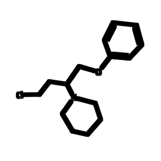 ClCCC(COc1ccccc1)N1CCCCC1